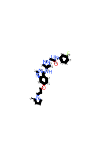 C[C@@H]1CCCN1CCCOc1ccc2c(Nc3cnn(CC(=O)Nc4cccc(F)c4)c3)ncnc2c1